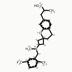 CC(Cc1ccc2c(c1)OC1(CC2)CC(N(C)Cc2cc(C(F)(F)F)ccc2C(F)(F)F)C1)C(=O)O